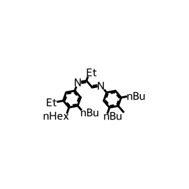 CCCCCCc1c(CC)cc(N=C(C=Nc2cc(CCCC)c(C)c(CCCC)c2)CC)cc1CCCC